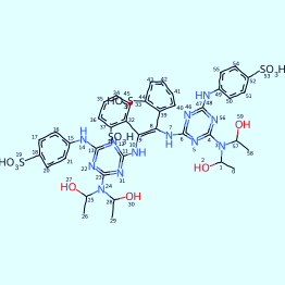 CC(O)N(c1nc(NC(=C(Nc2nc(Nc3ccc(S(=O)(=O)O)cc3)nc(N(C(C)O)C(C)O)n2)c2ccccc2S(=O)(=O)O)c2ccccc2S(=O)(=O)O)nc(Nc2ccc(S(=O)(=O)O)cc2)n1)C(C)O